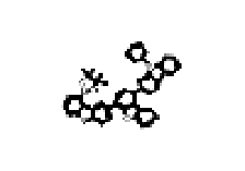 CC1(C)OB(c2cccc3sc4ccc(-c5ccc(-c6ccc7c8ccccc8n(-c8ccccc8)c7c6)c6c5oc5ccccc56)cc4c23)OC1(C)C